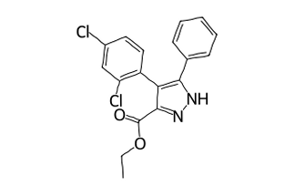 CCOC(=O)c1n[nH]c(-c2ccccc2)c1-c1ccc(Cl)cc1Cl